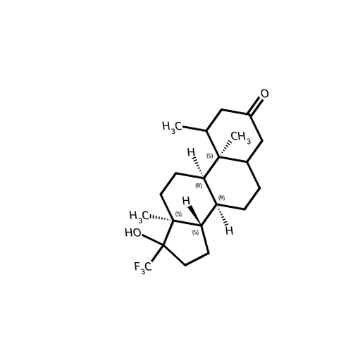 CC1CC(=O)CC2CC[C@@H]3[C@@H](CC[C@@]4(C)[C@H]3CCC4(O)C(F)(F)F)[C@@]12C